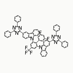 Fc1cc(F)cc(-c2c(-n3c4ccccc4c4cc(-c5nc(-c6ccccc6)nc(-c6ccccc6)n5)ccc43)cc(C(F)(F)F)cc2-n2c3ccccc3c3cc(-c4nc(-c5ccccc5)nc(-c5ccccc5)n4)ccc32)c1